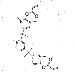 C=CC(=O)Oc1c(C)cc(C(C)(C)c2cccc(C(C)(C)c3cc(C)c(OC(=O)C=C)c(C)c3)c2)cc1C